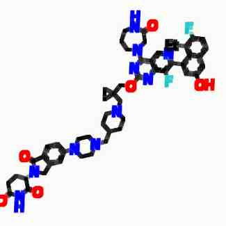 CCc1c(F)ccc2cc(O)cc(-c3ncc4c(N5CCCNC(=O)C5)nc(OCC5(CN6CCC(CN7CCN(c8ccc9c(c8)CN([C@H]8CCC(=O)NC8=O)C9=O)CC7)CC6)CC5)nc4c3F)c12